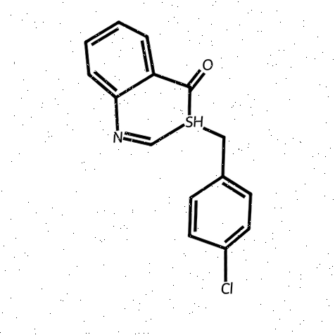 O=C1c2ccccc2N=C[SH]1Cc1ccc(Cl)cc1